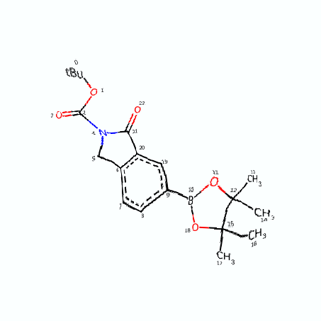 CC(C)(C)OC(=O)N1Cc2ccc(B3OC(C)(C)C(C)(C)O3)cc2C1=O